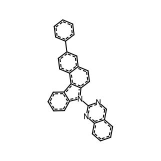 c1ccc(-c2ccc3c(ccc4c3c3ccccc3n4-c3ncc4ccccc4n3)c2)cc1